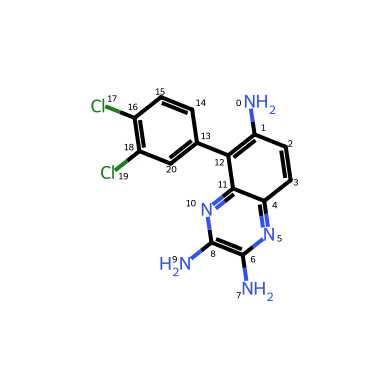 Nc1ccc2nc(N)c(N)nc2c1-c1ccc(Cl)c(Cl)c1